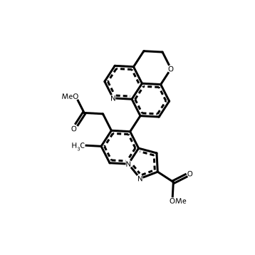 COC(=O)Cc1c(C)cn2nc(C(=O)OC)cc2c1-c1ccc2c3c(ccnc13)CCO2